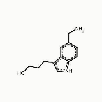 NCc1ccc2[nH]cc(CCCO)c2c1